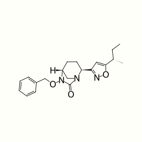 CC[C@H](C)c1cc([C@@H]2CC[C@@H]3CN2C(=O)N3OCc2ccccc2)no1